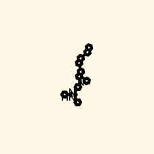 C1=C(c2ccccc2)NC(c2ccccc2)N=C1c1ccc(-n2c3ccccc3c3c4ccc(-c5ccc6ccc(-c7ccc8ccccc8c7)cc6c5)cc4ccc32)cc1